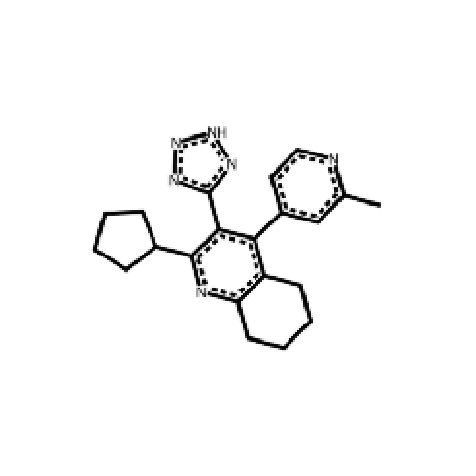 Cc1cc(-c2c3c(nc(C4CCCC4)c2-c2nn[nH]n2)CCCC3)ccn1